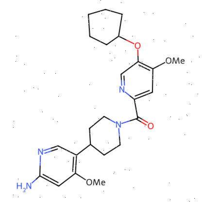 COc1cc(C(=O)N2CCC(c3cnc(N)cc3OC)CC2)ncc1OC1CCCCC1